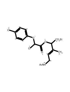 CCOC(=O)C(OC(=O)C(Cl)Oc1ccc(Cl)cc1)C(C)=CCNC(C)=O